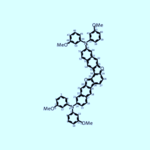 COc1cccc(N(c2cccc(OC)c2)c2ccc3cc4c(cc3c2)oc2c4ccc3oc4cc5cc(N(c6cccc(OC)c6)c6cccc(OC)c6)ccc5cc4c32)c1